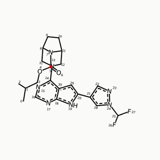 CC(C)COC(=O)N1C2CCC1CN(c1ncnc3[nH]c(-c4cnn(C(F)F)c4)cc13)C2